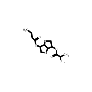 CCCC(=O)OC1COC2C(OC(=O)C(C)C)COC12